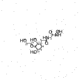 O=C(CNC(=O)Cc1ccc(O)c(OCCO)c1O)NO